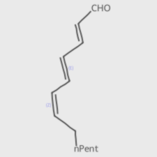 CCCCCC/C=C\C=C\C=CC=O